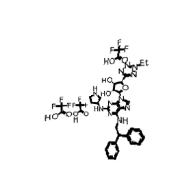 CCn1nnc([C@H]2O[C@@H](n3cnc4c(NCC(c5ccccc5)c5ccccc5)nc(NC5CCNC5)nc43)[C@H](O)[C@@H]2O)n1.O=C(O)C(F)(F)F.O=C(O)C(F)(F)F.O=C(O)C(F)(F)F